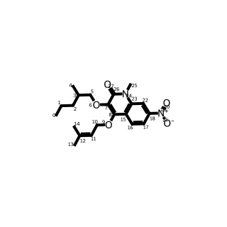 CCCC(C)COc1c(OCC=C(C)C)c2ccc([N+](=O)[O-])cc2n(C)c1=O